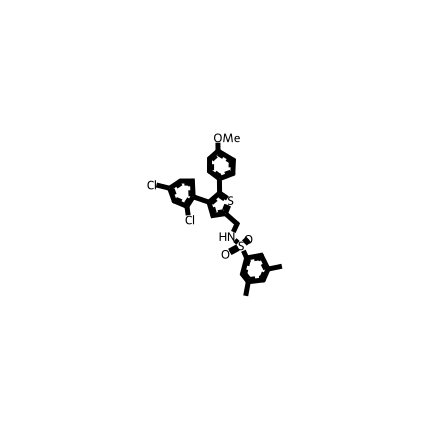 COc1ccc(-c2sc(CNS(=O)(=O)c3cc(C)cc(C)c3)cc2-c2ccc(Cl)cc2Cl)cc1